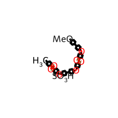 COc1ccc(-c2ccc(Oc3ccc(S(=O)(=O)c4ccc(Oc5ccc(-c6ccc(Oc7ccc(S(=O)(=O)c8ccc(C)cc8)cc7S(=O)(=O)O)cc6)cc5)cc4)cc3)cc2)cc1